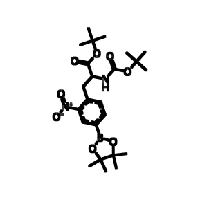 CC(C)(C)OC(=O)NC(Cc1ccc(B2OC(C)(C)C(C)(C)O2)cc1[N+](=O)[O-])C(=O)OC(C)(C)C